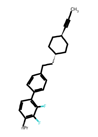 CC#C[C@H]1CC[C@H](CCc2ccc(-c3ccc(CCC)c(F)c3F)cc2)CC1